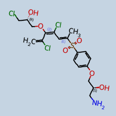 C=C(Cl)/C(OC[C@@H](O)CCl)=C(Cl)\C=C(/C)S(=O)(=O)c1ccc(OC[C@@H](O)CN)cc1